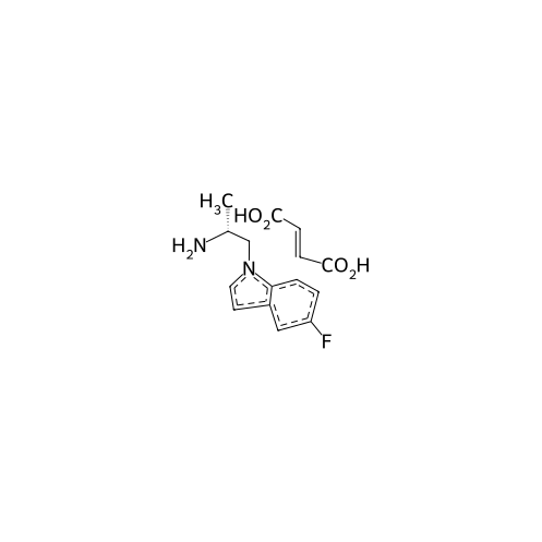 C[C@@H](N)Cn1ccc2cc(F)ccc21.O=C(O)/C=C/C(=O)O